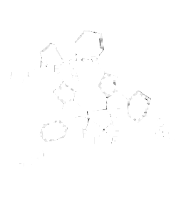 COc1ccc(-c2sc(B3C=CC=CN3C)cc2C2C(c3cc(B4C=CC=CN4C)sc3-c3ccc(OC)cc3)C(F)(F)C(F)(F)C2(F)F)cc1